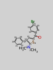 CN(C)c1sc(C(=O)c2ccc(Br)cc2)cc1-c1ccccc1